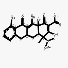 CON(C)C1(C)C(O)=C(C(N)=O)C(=O)C2(O)C(O)=C3C(=O)c4c(O)cccc4CC3CC21